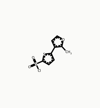 Cc1occc1-c1ccc(S(=O)(=O)Cl)s1